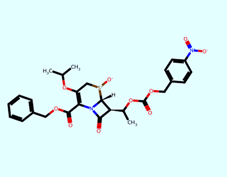 CC(C)OC1=C(C(=O)OCc2ccccc2)N2C(=O)[C@H](C(C)OC(=O)OCc3ccc([N+](=O)[O-])cc3)[C@H]2[S+]([O-])C1